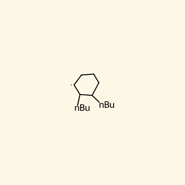 CCCCC1[CH]CCCC1CCCC